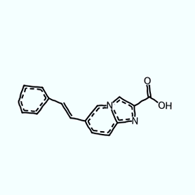 O=C(O)c1cn2cc(C=Cc3ccccc3)ccc2n1